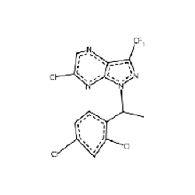 CC(c1ccc(Cl)cc1Cl)n1nc(C(F)(F)F)c2ncc(Cl)nc21